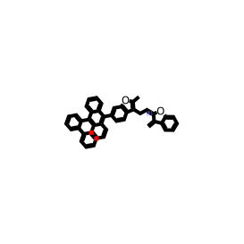 C=c1/c(=C\Cc2c(C)oc3cc(-c4c5ccccc5c(-c5ccccc5-c5ccccc5)c5ccccc45)ccc23)oc2ccccc12